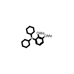 COc1cccc(P(C2CCCCC2)C2CCCCC2)c1OC